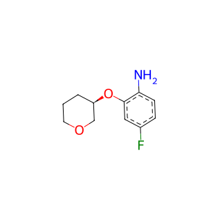 Nc1ccc(F)cc1O[C@@H]1CCCOC1